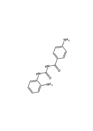 Nc1ccc(C(=O)NC(=O)Nc2ccccc2N)cc1